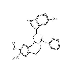 CCOc1cc2c(cc1OC)CCN(C(=O)c1cccnn1)C2CCc1c[nH]c2ccc(OC)cc12